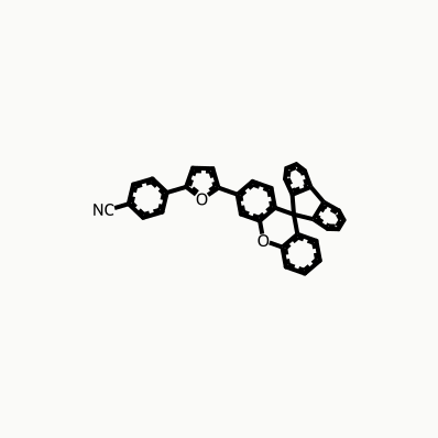 N#Cc1ccc(-c2ccc(-c3ccc4c(c3)Oc3ccccc3C43c4ccccc4-c4ccccc43)o2)cc1